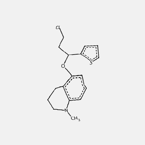 CN1CCCc2c(OC(CCCl)c3cccs3)cccc21